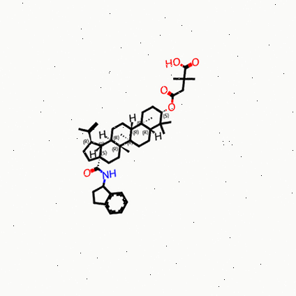 C=C(C)[C@@H]1CC[C@]2(C(=O)NC3CCc4ccccc43)CC[C@]3(C)[C@H](CC[C@@H]4[C@@]5(C)CC[C@H](OC(=O)CC(C)(C)C(=O)O)C(C)(C)[C@@H]5CC[C@]43C)[C@@H]12